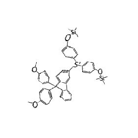 COc1ccc(C2(c3ccc(OC)cc3)c3ccccc3-c3cc([S+](c4ccc(O[Si](C)(C)C)cc4)c4ccc(O[Si](C)(C)C)cc4)ccc32)cc1